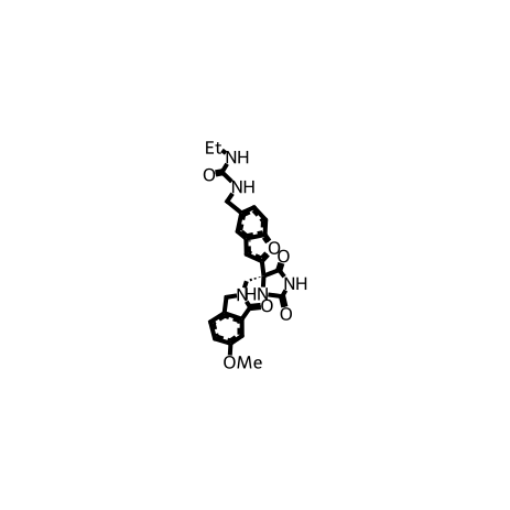 CCNC(=O)NCc1ccc2oc([C@]3(CN4Cc5ccc(OC)cc5C4=O)NC(=O)NC3=O)cc2c1